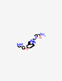 NC(=O)C[C@H]1CCN(CCn2cc3cc(Oc4ccc(-c5ccn[nH]5)cc4)ccc3n2)C1